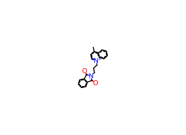 Cc1cc[n+](CCCN2C(=O)c3ccccc3C2=O)c2ccccc12